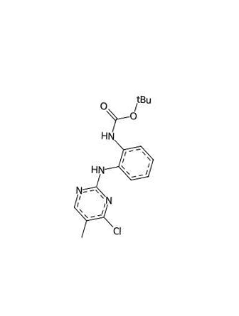 Cc1cnc(Nc2ccccc2NC(=O)OC(C)(C)C)nc1Cl